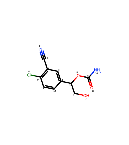 N#Cc1cc(C(CO)OC(N)=O)ccc1Cl